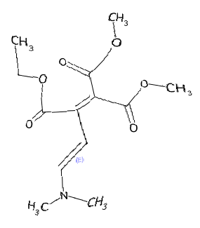 CCOC(=O)C(/C=C/N(C)C)=C(C(=O)OC)C(=O)OC